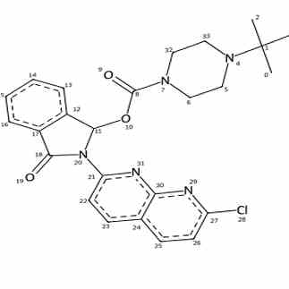 CC(C)(C)N1CCN(C(=O)OC2c3ccccc3C(=O)N2c2ccc3ccc(Cl)nc3n2)CC1